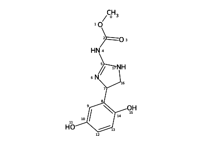 COC(=O)NC1=NC(c2cc(O)ccc2O)CN1